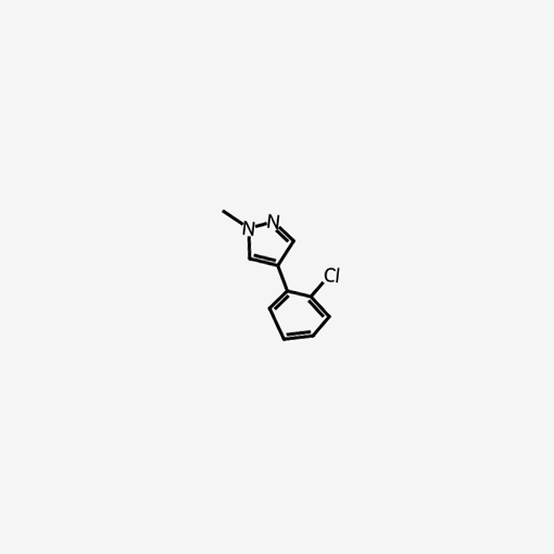 Cn1cc(-c2ccccc2Cl)cn1